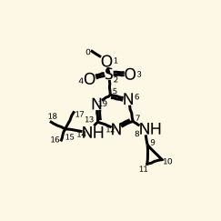 COS(=O)(=O)c1nc(NC2CC2)nc(NC(C)(C)C)n1